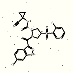 N#CC1(NC(=O)[C@@H]2C[C@@H](S(=O)(=O)c3ccccc3Cl)CN2C(=O)c2n[nH]c3cc(Cl)ccc23)CC1